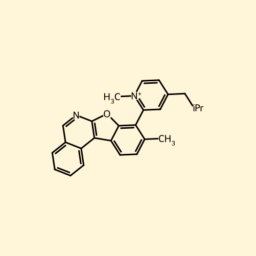 Cc1ccc2c(oc3ncc4ccccc4c32)c1-c1cc(CC(C)C)cc[n+]1C